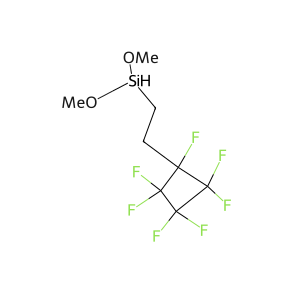 CO[SiH](CCC1(F)C(F)(F)C(F)(F)C1(F)F)OC